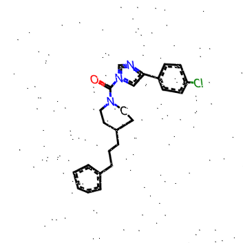 O=C(N1CCC(CCCc2ccccc2)CC1)n1cnc(-c2ccc(Cl)cc2)c1